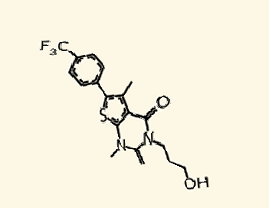 C=C1N(CCCO)C(=O)c2c(sc(-c3ccc(C(F)(F)F)cc3)c2C)N1C